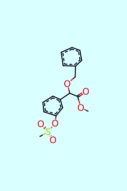 COC(=O)C(OCc1ccccc1)c1cccc(OS(C)(=O)=O)c1